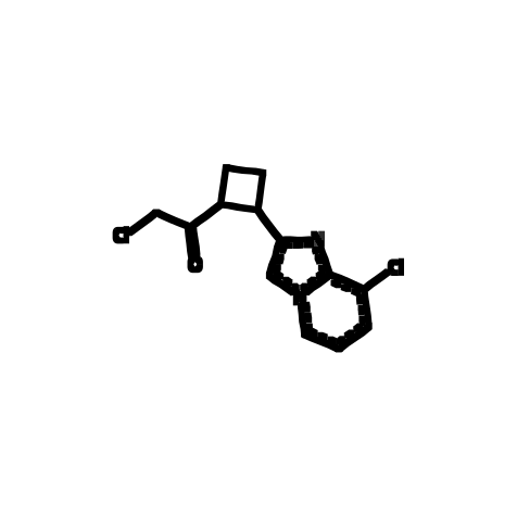 O=C(CCl)C1CCC1c1cn2cccc(Cl)c2n1